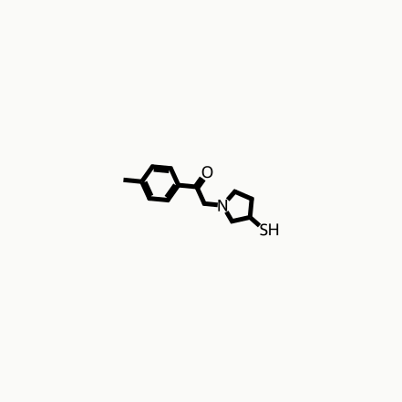 Cc1ccc(C(=O)CN2CCC(S)C2)cc1